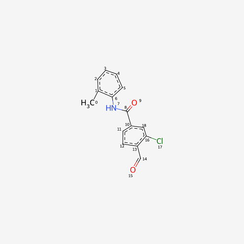 Cc1ccccc1NC(=O)c1ccc(C=O)c(Cl)c1